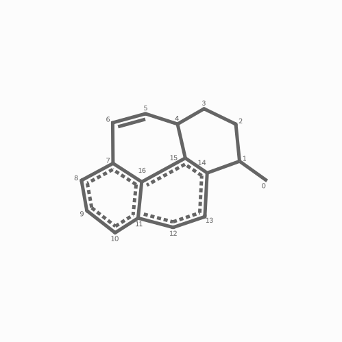 CC1CCC2C=Cc3cccc4ccc1c2c34